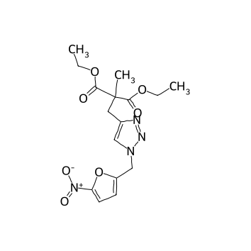 CCOC(=O)C(C)(Cc1cn(Cc2ccc([N+](=O)[O-])o2)nn1)C(=O)OCC